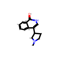 CN1CCC(c2c[nH]c(=O)c3ccccc23)C1